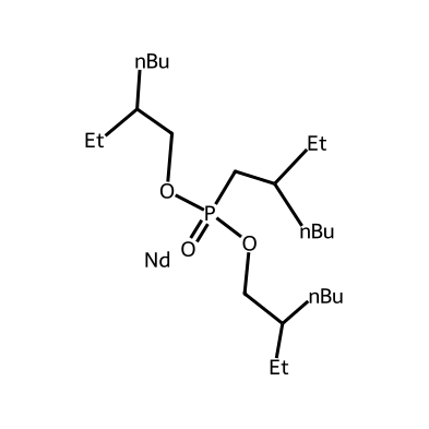 CCCCC(CC)COP(=O)(CC(CC)CCCC)OCC(CC)CCCC.[Nd]